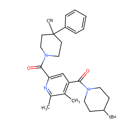 Cc1nc(C(=O)N2CCC(C#N)(c3ccccc3)CC2)cc(C(=O)N2CCC(C(C)(C)C)CC2)c1C